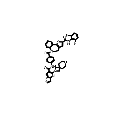 O=C(Nc1c(F)cccc1F)c1cc2c(s1)-c1ccccc1N(C(=O)c1ccc(NC(=O)c3cc4sccc4nc3N3CC4(CCOCC4)C3)cc1)CC2